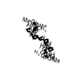 COC(=O)N[C@H](C(=O)N1CCC[C@H]1c1nc2ccc(-c3ccc(-c4ccc5nc([C@@H]6CCCN6C(=O)[C@@H](NC(=O)OC)[C@@H](C)OC)[nH]c5c4)nc3)cc2[nH]1)[C@@H](C)OC